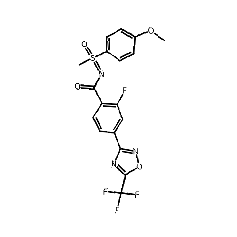 COc1ccc(S(C)(=O)=NC(=O)c2ccc(-c3noc(C(F)(F)F)n3)cc2F)cc1